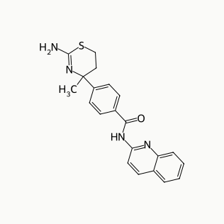 CC1(c2ccc(C(=O)Nc3ccc4ccccc4n3)cc2)CCSC(N)=N1